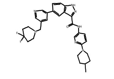 CC1CCN(c2ccc(NC(=O)c3n[nH]c4ccc(-c5cncc(CN6CCC(F)(F)CC6)c5)cc34)cn2)CC1